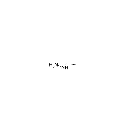 C[C](C)NN